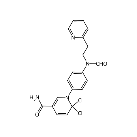 NC(=O)C1=CN(c2ccc(N(C=O)CCc3ccccn3)cc2)C(Cl)(Cl)C=C1